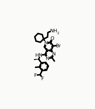 Cc1nc(N[C@H](C)c2cccc(C(F)F)c2C)c2cn(C3(CCN)CCCCC3)c(=O)c(Br)c2n1